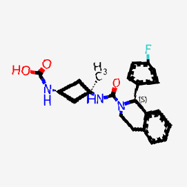 C[C@]1(NC(=O)N2CCc3ccccc3[C@@H]2c2ccc(F)cc2)C[C@H](NC(=O)O)C1